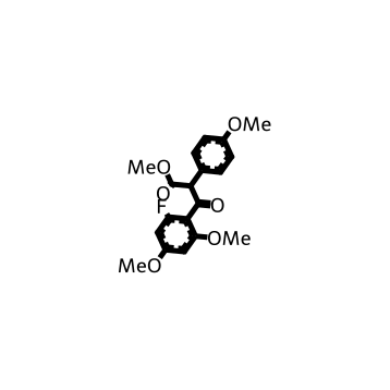 COC(=O)C(C(=O)c1c(F)cc(OC)cc1OC)c1ccc(OC)cc1